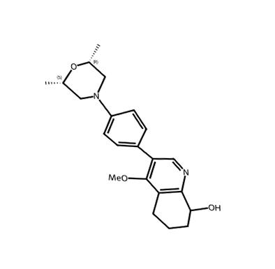 COc1c(-c2ccc(N3C[C@@H](C)O[C@@H](C)C3)cc2)cnc2c1CCCC2O